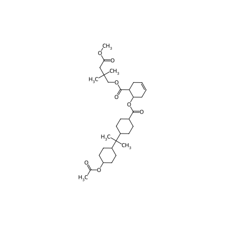 COC(=O)CC(C)(C)COC(=O)C1CC=CCC1OC(=O)C1CCC(C(C)(C)C2CCC(OC(C)=O)CC2)CC1